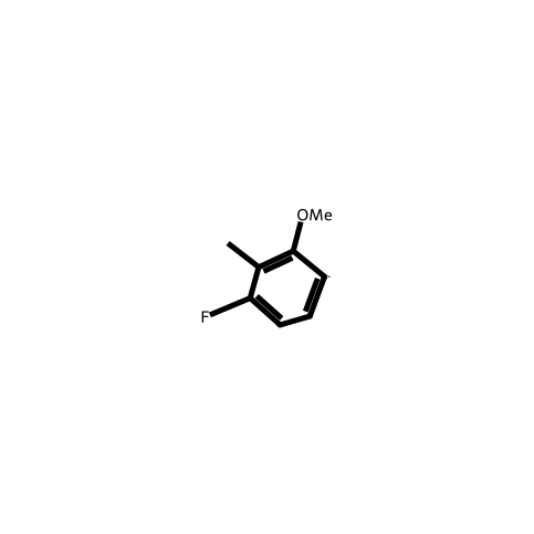 COc1[c]ccc(F)c1C